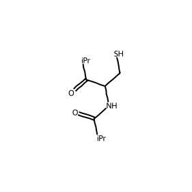 CC(C)C(=O)NC(CS)C(=O)C(C)C